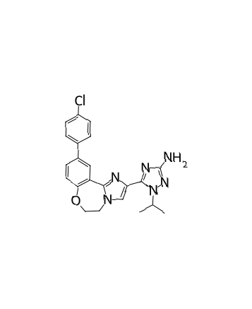 CC(C)n1nc(N)nc1-c1cn2c(n1)-c1cc(-c3ccc(Cl)cc3)ccc1OCC2